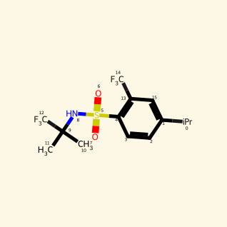 CC(C)c1ccc(S(=O)(=O)NC(C)(C)C(F)(F)F)c(C(F)(F)F)c1